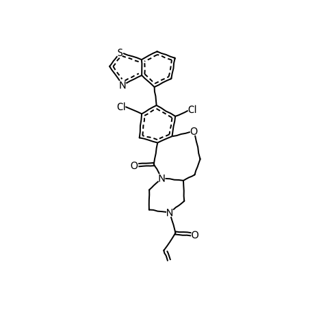 C=CC(=O)N1CCN2C(=O)c3cc(Cl)c(-c4cccc5scnc45)c(Cl)c3OCCC2C1